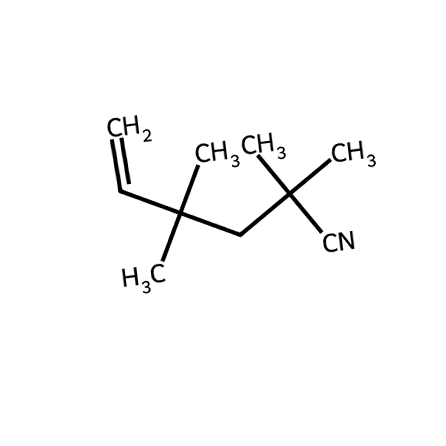 C=CC(C)(C)CC(C)(C)C#N